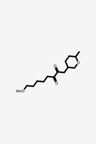 COCCCCCC(=O)C(=O)CC1CCC(C)OC1